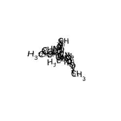 CCCCOc1cnc2c(N3CC(C)(Oc4cnc(N5CC(O)C5)c5ncc(OCCC(C)C)cc45)C3)nccc2c1